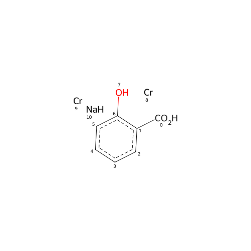 O=C(O)c1ccccc1O.[Cr].[Cr].[NaH]